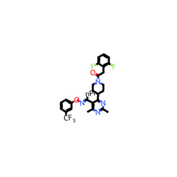 CCC/C(=N\Oc1cccc(C(F)(F)F)c1)c1c(C)nc(C)nc1C1CCN(C(=O)Cc2c(F)cccc2F)CC1